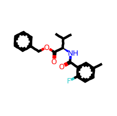 Cc1ccc(F)c(C(=O)N[C@@H](C(=O)OCc2ccccc2)C(C)C)c1